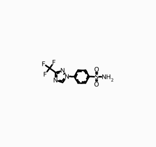 NS(=O)(=O)c1ccc(-n2cnc(C(F)(F)F)n2)cc1